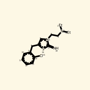 CCN(CC)CCn1cc(Cc2ccccc2Cl)sc1=N